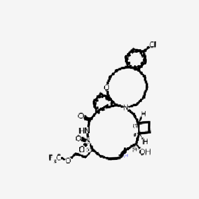 O=C1NS(=O)(=O)[C@H](CCOC(F)(F)F)CC/C=C/[C@H](O)[C@@H]2CC[C@H]2CN2CCCCc3cc(Cl)ccc3CCOc3ccc1cc32